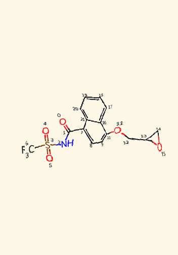 O=C(NS(=O)(=O)C(F)(F)F)c1ccc(OCC2CO2)c2ccccc12